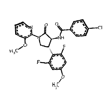 COc1cc(F)c([C@@H]2CN(c3ncccc3OC)C(=O)[C@H]2NC(=O)c2ccc(Cl)cc2)c(F)c1